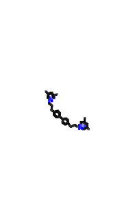 Cc1cc(C)c[n+](CCCc2ccc(-c3ccc(CCC[n+]4cc(C)cc(C)c4)cc3)cc2)c1